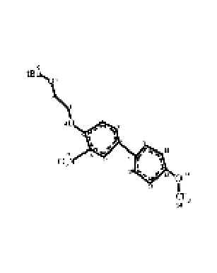 CC(C)(C)OCCOc1ccc(-c2ccc(OC(F)(F)F)cc2)cc1[N+](=O)[O-]